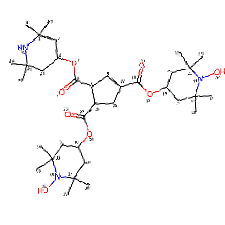 CC1(C)CC(OC(=O)C2CC(C(=O)OC3CC(C)(C)N(O)C(C)(C)C3)CC2C(=O)OC2CC(C)(C)N(O)C(C)(C)C2)CC(C)(C)N1